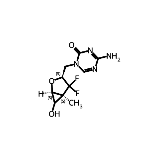 C[C@]12C(O)[C@H]1O[C@@H](Cn1cnc(N)nc1=O)C2(F)F